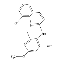 CCCc1cc(OC(F)(F)F)cc(C)c1Nc1ccc2cccc(Cl)c2n1